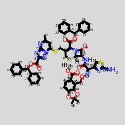 Cc1cc(SCC2=C(C(=O)OC(c3ccccc3)c3ccccc3)N3C(=O)[C@@H](NC(=O)/C(=N\OCc4c(C(=O)OC(C)(C)C)ccc5c4OC(C)(C)O5)c4csc(N)n4)[C@H]3SC2)n2nc(C(=O)OC(c3ccccc3)c3ccccc3)nc2n1